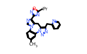 Cc1ccc2c(c1)-n1nnc(Cc3ccccn3)c1Cc1c(-c3noc(C(C)C)n3)ncn1-2